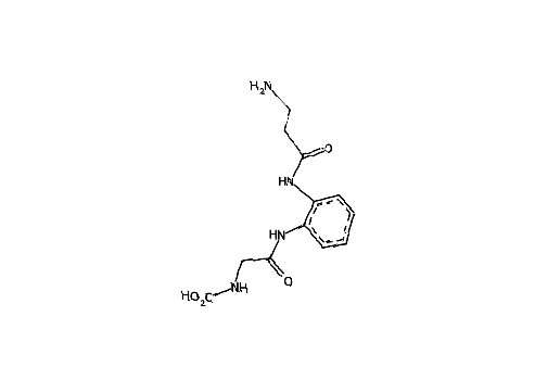 NCCC(=O)Nc1ccccc1NC(=O)CNC(=O)O